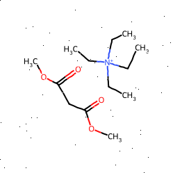 CC[N+](CC)(CC)CC.COC(=O)CC(=O)OC